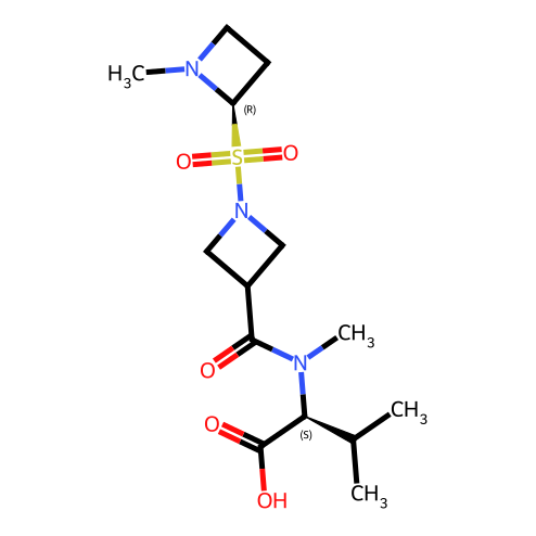 CC(C)[C@@H](C(=O)O)N(C)C(=O)C1CN(S(=O)(=O)[C@@H]2CCN2C)C1